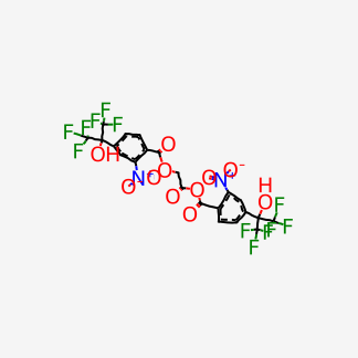 O=C(COC(=O)c1ccc(C(O)(C(F)(F)F)C(F)(F)F)cc1[N+](=O)[O-])OC(=O)c1ccc(C(O)(C(F)(F)F)C(F)(F)F)cc1[N+](=O)[O-]